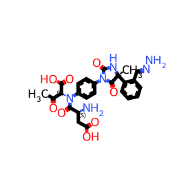 CC(=O)[C@H](C(=O)O)N(C(=O)[C@@H](N)CC(=O)O)c1ccc(N2C(=O)N[C@@](C)(c3ccccc3C=NN)C2=O)cc1